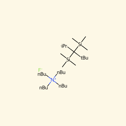 CCCC[N+](CCCC)(CCCC)CCCC.C[C](C)C(C(C)(C)C)([Si](C)(C)C)[Si](C)(C)C.[F-]